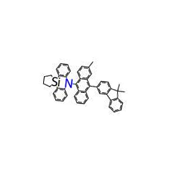 Cc1ccc2c(N3c4ccccc4[Si]4(CCCC4)c4ccccc43)c3ccccc3c(-c3ccc4c(c3)-c3ccccc3C4(C)C)c2c1